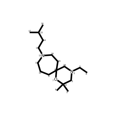 CCN1CC(C)(C)OC2(CCCN(CCC(C)C)CC2)C1